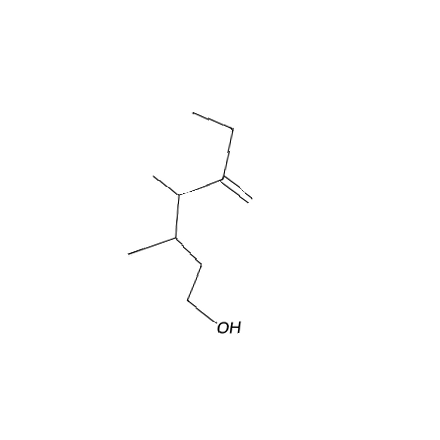 C=C(CC)C(C)C(C)CCO